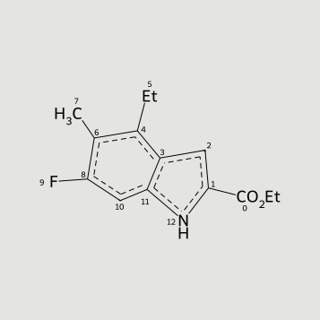 CCOC(=O)c1cc2c(CC)c(C)c(F)cc2[nH]1